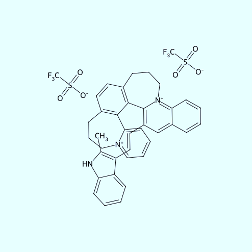 Cc1[nH]c2ccccc2c1/C=C/c1cc2ccccc2[n+]2c1-c1c(ccc3c1-c1cccc[n+]1CCC3)CCC2.O=S(=O)([O-])C(F)(F)F.O=S(=O)([O-])C(F)(F)F